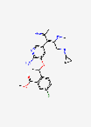 CN/C(CNC1CC1)=C(\C(C)=N)c1cnc(N)c(OC(C)c2ccc(F)cc2C(=O)OC)c1